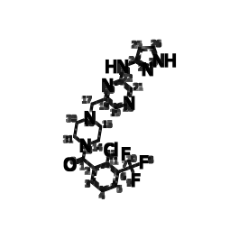 O=C(c1cccc(C(F)(F)F)c1Cl)N1CCN(Cc2cncc(Nc3cc[nH]n3)n2)CC1